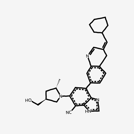 C[C@H]1C[C@H](CO)CN1c1cc(-c2ccc3c(c2)N=C/C(=C\C2CCCCC2)C3)c2nc[nH]c2c1C#N